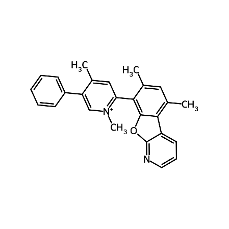 Cc1cc(-c2c(C)cc(C)c3c2oc2ncccc23)[n+](C)cc1-c1ccccc1